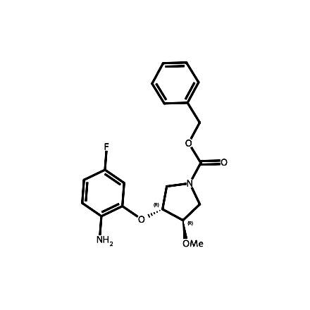 CO[C@@H]1CN(C(=O)OCc2ccccc2)C[C@H]1Oc1cc(F)ccc1N